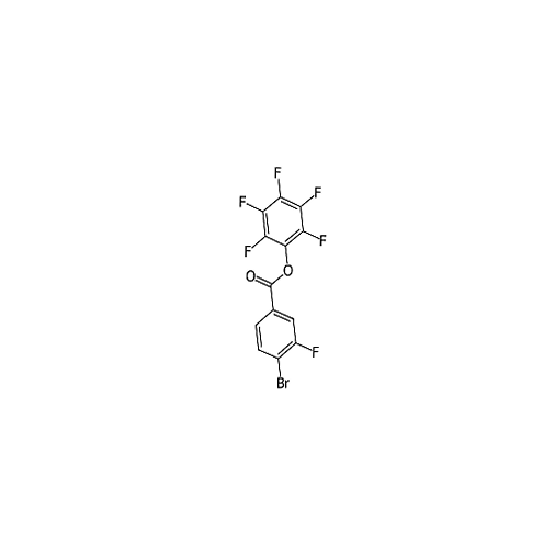 O=C(Oc1c(F)c(F)c(F)c(F)c1F)c1ccc(Br)c(F)c1